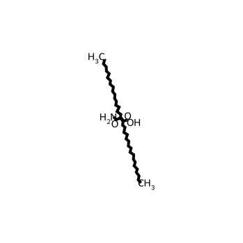 CCCCCCCCCCCCCCCCCC/C(C(N)=O)=C(/CCCCCCCCCCCCCCCCCC)C(=O)O